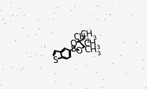 CCC1(C)OB(c2ccc3sccc3c2)OC1(C)C